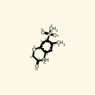 Cc1cc2c(cc1S(C)(=O)=O)OCC(=O)N2